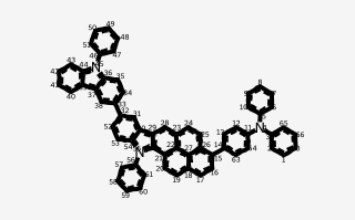 c1ccc(N(c2ccccc2)c2ccc(-c3ccc4ccc5c6c(ccc3c46)cc3c4cc(-c6ccc7c(c6)c6ccccc6n7-c6ccccc6)ccc4n(-c4ccccc4)c35)cc2)cc1